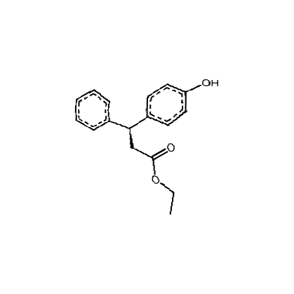 CCOC(=O)C[C@@H](c1ccccc1)c1ccc(O)cc1